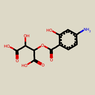 Nc1ccc(C(=O)OC(C(=O)O)C(O)C(=O)O)c(O)c1